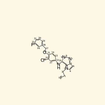 FCCn1ccc2ncnc(Nc3ccc(OCc4cccc(F)c4)c(Cl)c3)c21